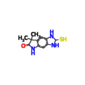 CC1(C)C(=O)Nc2cc3c(cc21)NC(S)N3